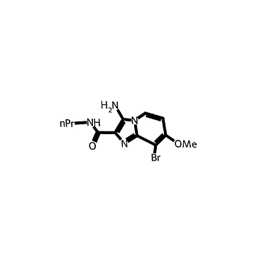 CCCNC(=O)c1nc2c(Br)c(OC)ccn2c1N